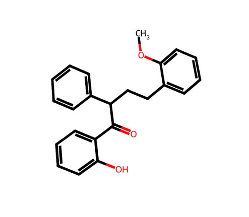 COc1ccccc1CCC(C(=O)c1ccccc1O)c1ccccc1